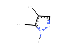 CCn1ncc(C(C)C)c1C